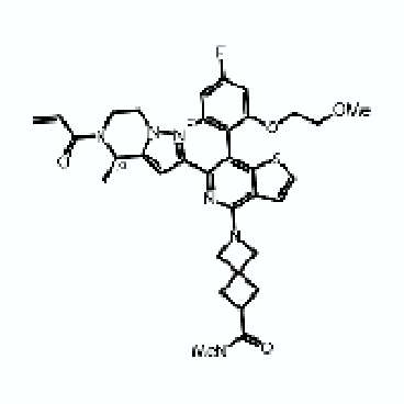 C=CC(=O)N1CCn2nc(-c3nc(N4CC5(CC(C(=O)NC)C5)C4)c4ccsc4c3-c3c(F)cc(F)cc3OCCOC)cc2[C@H]1C